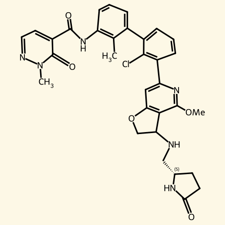 COc1nc(-c2cccc(-c3cccc(NC(=O)c4ccnn(C)c4=O)c3C)c2Cl)cc2c1C(NC[C@@H]1CCC(=O)N1)CO2